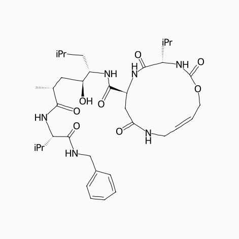 CC(C)C[C@H](NC(=O)[C@@H]1CC(=O)NC/C=C\COC(=O)N[C@@H](C(C)C)C(=O)N1)[C@@H](O)C[C@@H](C)C(=O)N[C@H](C(=O)NCc1ccccc1)C(C)C